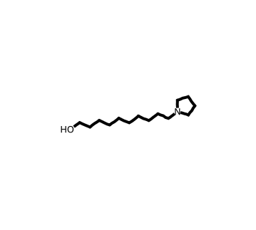 OCCCCCCCCCCN1CCCC1